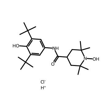 CC(C)(C)c1cc(NC(=O)C2CC(C)(C)N(O)C(C)(C)C2)cc(C(C)(C)C)c1O.[Cl-].[H+]